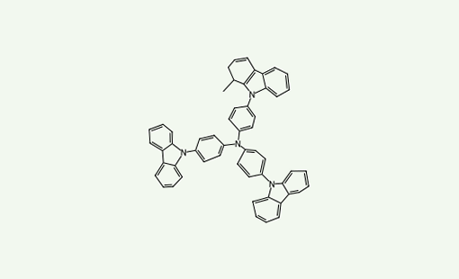 CC1CC=Cc2c1n(-c1ccc(N(c3ccc(-n4c5ccccc5c5ccccc54)cc3)c3ccc(-n4c5ccccc5c5ccccc54)cc3)cc1)c1ccccc21